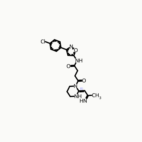 CC(=N)/C=C1\NCCCN1C(=O)CCC(=O)Nc1cc(-c2ccc(Cl)cc2)no1